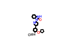 COc1ccc(-c2ccc(-n3c(=O)[nH]c4ccccc43)nc2)cc1OC1CCCC1